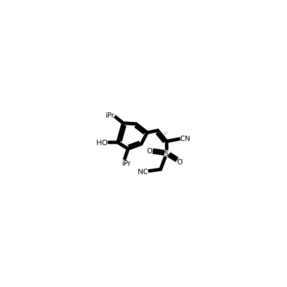 CC(C)c1cc(/C=C(/C#N)S(=O)(=O)CC#N)cc(C(C)C)c1O